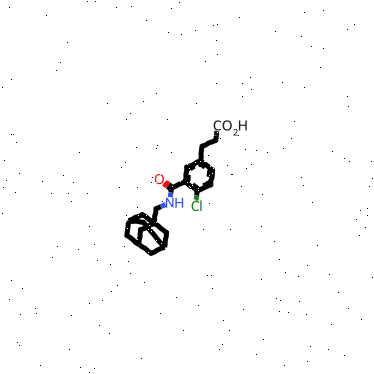 O=C(O)CCc1ccc(Cl)c(C(=O)NCC23CC4CC(CC(C4)C2)C3)c1